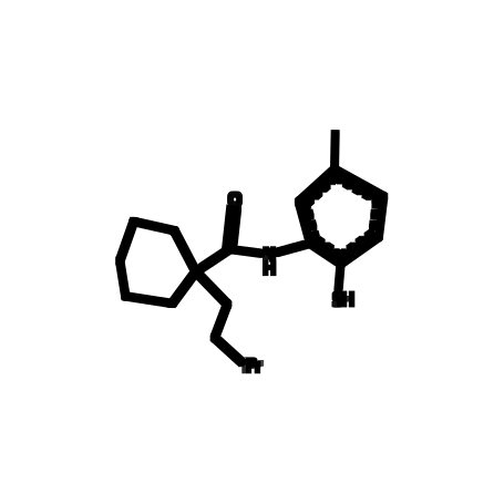 Cc1ccc(S)c(NC(=O)C2(CCC(C)C)CCCCC2)c1